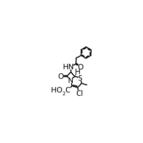 CC1S[C@@H]2C(NC(=O)Cc3ccccc3)C(=O)N2C(C(=O)O)=C1Cl